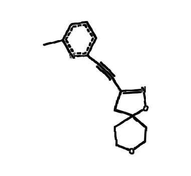 Cc1cccc(C#CC2=NOC3(CCOCC3)C2)n1